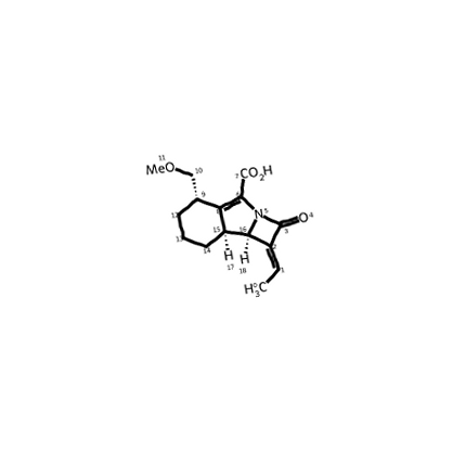 C/C=C1/C(=O)N2C(C(=O)O)=C3[C@@H](COC)CCC[C@@H]3[C@H]12